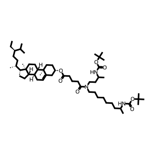 CC[C@H](CC[C@@H](C)[C@H]1CC[C@H]2[C@@H]3CC=C4C[C@@H](OC(=O)CCCC(=O)N(CCCCCCCC(C)NC(=O)OC(C)(C)C)CCC(C)NC(=O)OC(C)(C)C)CC[C@]4(C)[C@H]3CC[C@]12C)C(C)C